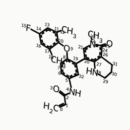 C=CC(=O)Nc1ccc(Oc2c(C)cc(F)cc2C)c(-c2cn(C)c(=O)c3c2NCCC3)c1